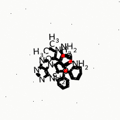 CC(C)[C@H](N)C(=O)C(C(=O)CN)(C(=O)CN)C(C(=S)C(c1ccccc1)(c1ccccc1)c1ccccc1)n1cnc2ncnc(N)c21